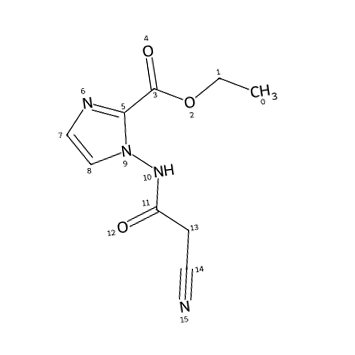 CCOC(=O)c1nccn1NC(=O)CC#N